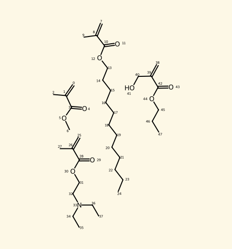 C=C(C)C(=O)OC.C=C(C)C(=O)OCCCCCCCCCCCC.C=C(C)C(=O)OCCN(CC)CC.C=C(CO)C(=O)OCCC